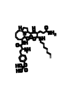 CCCCCCCNC(=O)[C@H](CCC(N)=O)NC(=O)C1CC[C@@H]2CCCCC(NC(=O)[C@H](Cc3ccc(OP(=O)(O)O)cc3)NC)C(=O)N12